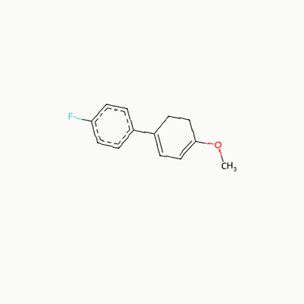 COC1=CC=C(c2ccc(F)cc2)CC1